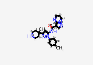 Cc1ccc(-n2nc(C3(C)CCNCC3)cc2NC(=O)c2cnn3cccnc23)cc1